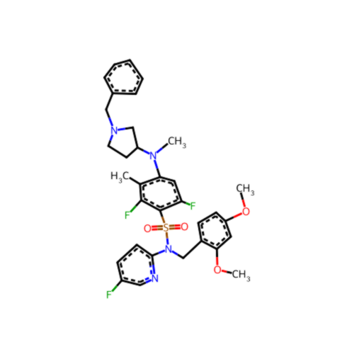 COc1ccc(CN(c2ccc(F)cn2)S(=O)(=O)c2c(F)cc(N(C)C3CCN(Cc4ccccc4)C3)c(C)c2F)c(OC)c1